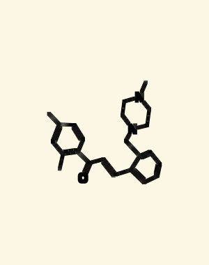 Cc1ccc(C(=O)C=Cc2ccccc2CN2CCN(C)CC2)c(C)c1